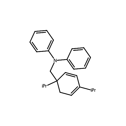 CC(C)C1=CCC(CN(c2ccccc2)c2ccccc2)(C(C)C)C=C1